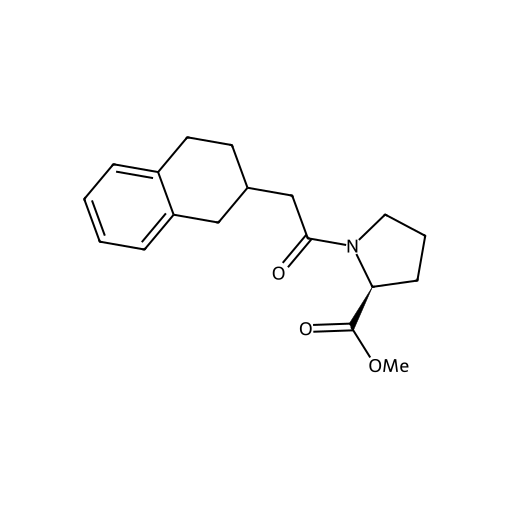 COC(=O)[C@@H]1CCCN1C(=O)CC1CCc2ccccc2C1